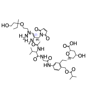 CCC(C)(CCO)OCCN(N)/C=C(\N)[C@@H](CC(=O)NC(C(=O)NCC(=O)Nc1ccc(COC(=O)C(C)C)c(CC[C@H]2CC(O)CC(C(=O)O)O2)c1)C(C)C)N1C(=O)C=CC1=O